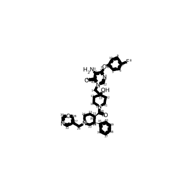 Nc1c(Oc2ccc(F)cc2)ncn(CC2(O)CCN(C(=O)[C@@H]3CCN(Cc4cccnc4)C[C@H]3c3ccccc3)CC2)c1=O